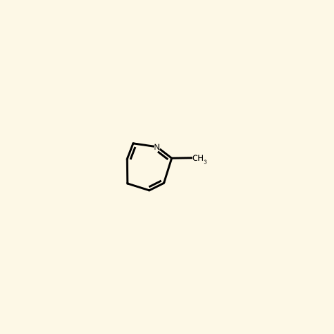 CC1=NC=CCC=C1